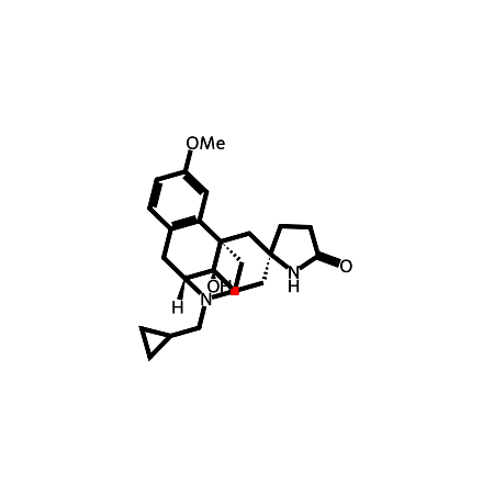 COc1ccc2c(c1)[C@]13CCN(CC4CC4)[C@H](C2)[C@]1(O)CC[C@@]1(CCC(=O)N1)C3